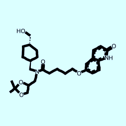 CC1(C)OCC(CN(C[C@H]2CC[C@H](CO)CC2)C(=O)CCCCOc2ccc3[nH]c(=O)ccc3c2)O1